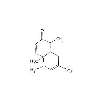 CC1=CC(C)C2(C)C=CC(=O)C(C)C2C1